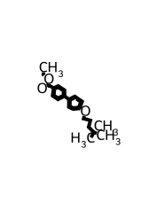 CCOC(=O)c1ccc(-c2ccc(OCCCC(C)(C)C)cc2)cc1